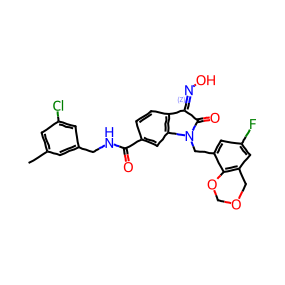 Cc1cc(Cl)cc(CNC(=O)c2ccc3c(c2)N(Cc2cc(F)cc4c2OCOC4)C(=O)/C3=N\O)c1